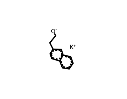 [K+].[O-]CCc1ccc2ccccc2c1